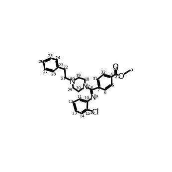 COC(=O)c1ccc(C(=Nc2ccccc2Cl)N2CCN(CCc3ccccc3)CC2)cc1